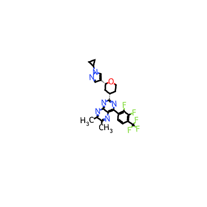 Cc1nc2nc([C@H]3CCO[C@@H](c4cnn(C5CC5)c4)C3)nc(-c3ccc(C(F)(F)F)c(F)c3F)c2nc1C